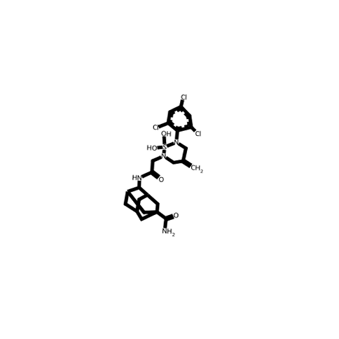 C=C1CN(CC(=O)NC2C3CC4CC2CC(C(N)=O)(C4)C3)S(O)(O)N(c2c(Cl)cc(Cl)cc2Cl)C1